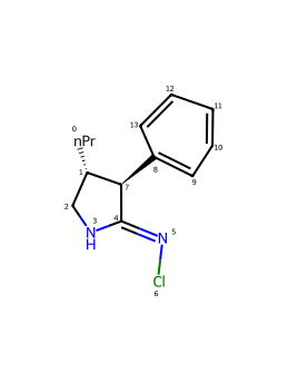 CCC[C@H]1CN/C(=N\Cl)[C@@H]1c1ccccc1